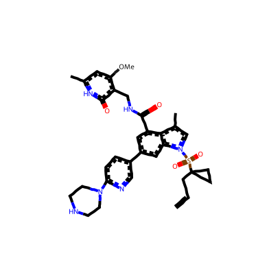 C=CCC1(S(=O)(=O)n2cc(C)c3c(C(=O)NCc4c(OC)cc(C)[nH]c4=O)cc(-c4ccc(N5CCNCC5)nc4)cc32)CC1